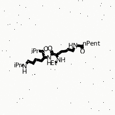 CCCCCC(=O)NCCCCC(NCC)C(=O)NC(CCCCNC(C)C)C(=O)C(C)C